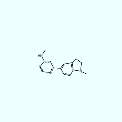 CNc1cc(-c2ccc3c(c2)CCN3C)ncn1